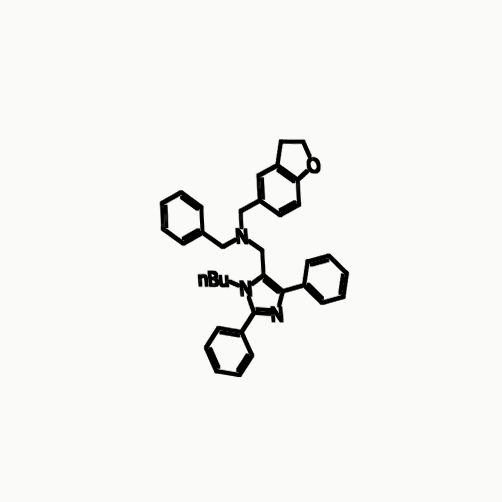 CCCCn1c(-c2ccccc2)nc(-c2ccccc2)c1CN(Cc1ccccc1)Cc1ccc2c(c1)CCO2